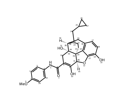 COc1ccc(NC(=O)C2=C(O)[C@@H]3Oc4c(O)ccc5c4[C@@]34CCN(CC3CC3)[C@H](C5)[C@]4(O)C2)cc1